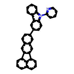 c1ccc(-n2c3ccccc3c3cc(-c4ccc5cc6c(cc5c4)-c4cccc5cccc-6c45)ccc32)nc1